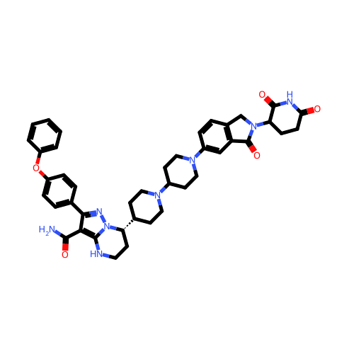 NC(=O)c1c(-c2ccc(Oc3ccccc3)cc2)nn2c1NCC[C@H]2C1CCN(C2CCN(c3ccc4c(c3)C(=O)N(C3CCC(=O)NC3=O)C4)CC2)CC1